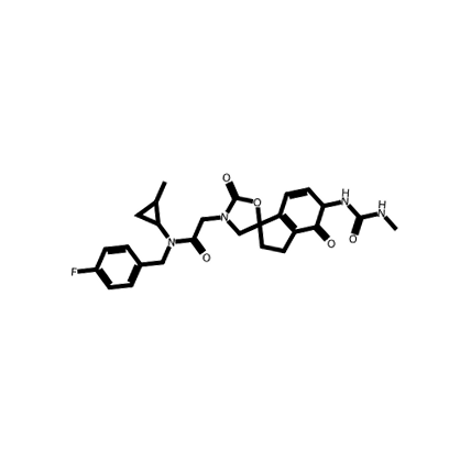 CNC(=O)NC1C=CC2=C(CCC23CN(CC(=O)N(Cc2ccc(F)cc2)C2CC2C)C(=O)O3)C1=O